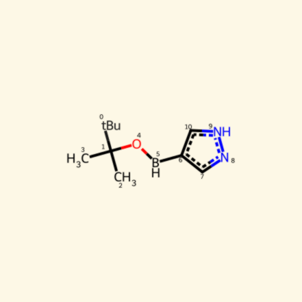 CC(C)(C)C(C)(C)OBc1cn[nH]c1